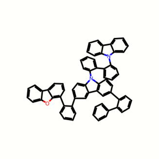 c1ccc(-c2ccccc2-c2ccc3c(c2)c2cc(-c4ccccc4-c4cccc5c4oc4ccccc45)ccc2n3-c2ccccc2-c2ccccc2-n2c3ccccc3c3ccccc32)cc1